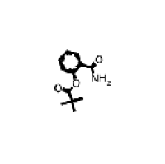 CC(C)(C)C(=O)Oc1ccccc1C(N)=O